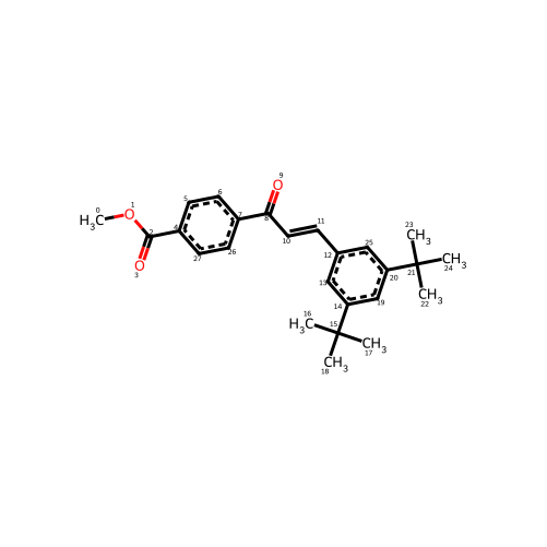 COC(=O)c1ccc(C(=O)C=Cc2cc(C(C)(C)C)cc(C(C)(C)C)c2)cc1